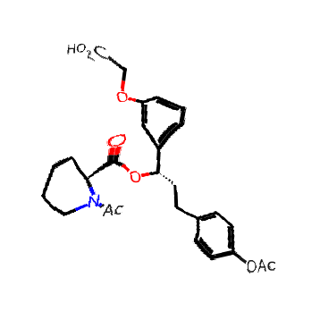 CC(=O)Oc1ccc(CC[C@H](OC(=O)[C@@H]2CCCCN2C(C)=O)c2cccc(OCC(=O)O)c2)cc1